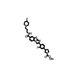 CC(C)(C)OC(=O)N1CCC(c2ccc(-c3cn4c(n3)sc3cc(C(=O)NCCCN5CCC(F)CC5)ccc34)c(F)c2)C1